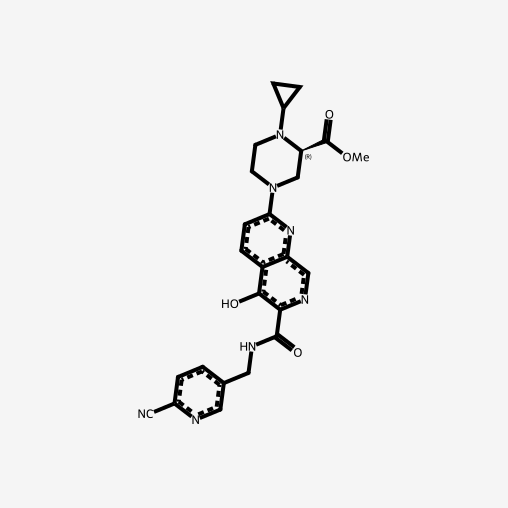 COC(=O)[C@H]1CN(c2ccc3c(O)c(C(=O)NCc4ccc(C#N)nc4)ncc3n2)CCN1C1CC1